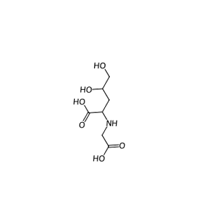 O=C(O)CNC(CC(O)CO)C(=O)O